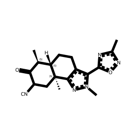 [C-]#[N+]C1C[C@]2(C)c3nn(C)c(-c4nc(C)no4)c3CC[C@H]2[C@H](C)C1=O